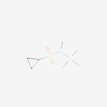 CC(C)(C)N([Si](C)(C)C)S(=O)(=O)C1CC1